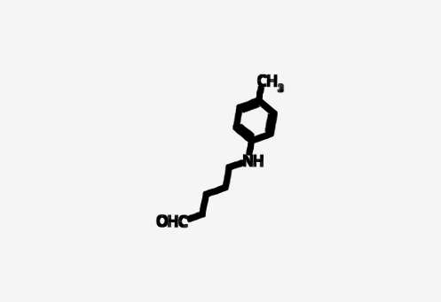 Cc1ccc(NCCCCC=O)cc1